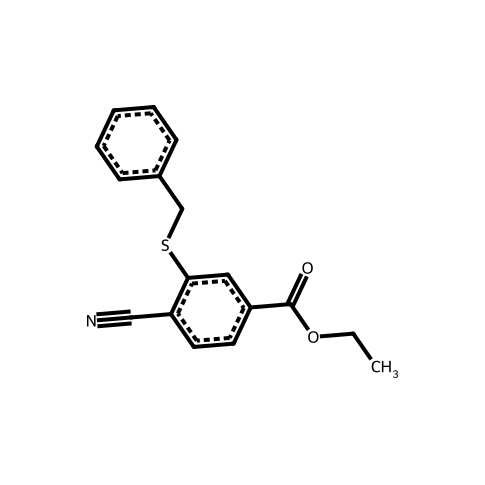 CCOC(=O)c1ccc(C#N)c(SCc2ccccc2)c1